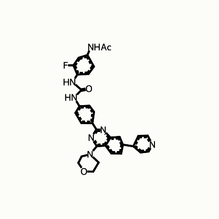 CC(=O)Nc1ccc(NC(=O)Nc2ccc(-c3nc(N4CCOCC4)c4ccc(-c5ccncc5)cc4n3)cc2)c(F)c1